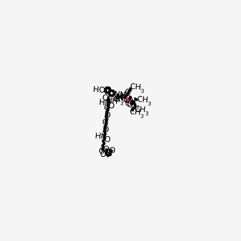 CCCO[C@H](CC(C(C)C)N(CCC)C(=O)C[C@@H](C)CC)c1nc(C(=O)N[C@H]2Cc3ccc(O)cc3[C@H](C(=O)NNC(=O)OCCOCCOCCOCCNC(=O)CCCC(=O)ON3C(=O)CCC3=O)C2)cs1